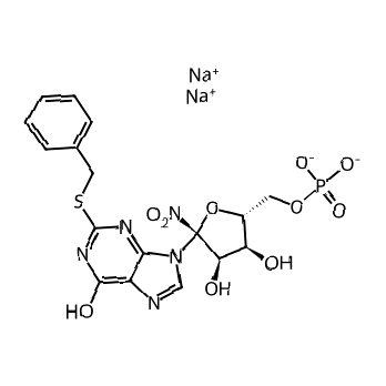 O=[N+]([O-])[C@@]1(n2cnc3c(O)nc(SCc4ccccc4)nc32)O[C@H](COP(=O)([O-])[O-])[C@@H](O)[C@H]1O.[Na+].[Na+]